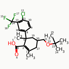 CC1=C(C(=O)O)C(C)(c2ccc(Cl)c(C(F)(F)F)c2)CC(COC(C)(C)C)C1